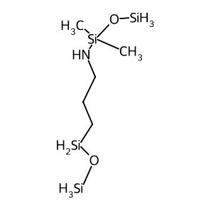 C[Si](C)(NCCC[SiH2]O[SiH3])O[SiH3]